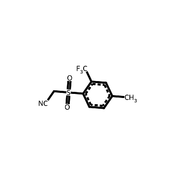 Cc1ccc(S(=O)(=O)CC#N)c(C(F)(F)F)c1